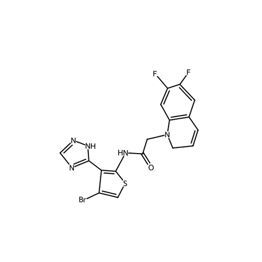 O=C(CN1CC=Cc2cc(F)c(F)cc21)Nc1scc(Br)c1-c1ncn[nH]1